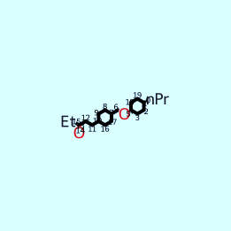 CCC[C@H]1CC[C@H](OCC2CCC(CCC(=O)CC)CC2)CC1